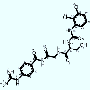 N=C(N)Nc1ccc(C(=O)NC(=O)CNC(=O)[C@H](CO)NC(=O)Nc2cccc(Cl)c2Cl)cc1